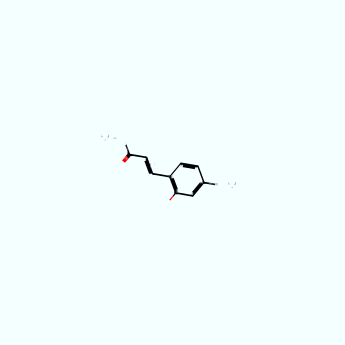 COC(=O)/C=C/c1ccc(OC)cc1O